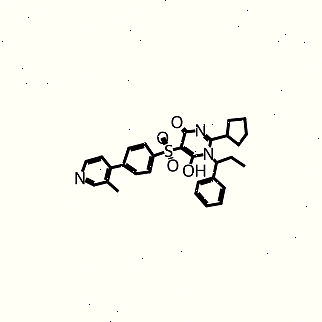 CCC(c1ccccc1)n1c(C2CCCC2)nc(=O)c(S(=O)(=O)c2ccc(-c3ccncc3C)cc2)c1O